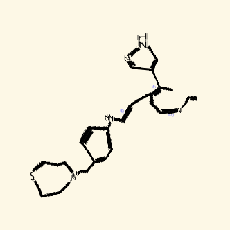 C=C\N=C/C(/C=C/Nc1ccc(CN2CCSCC2)cc1)=C(\C)c1cn[nH]c1